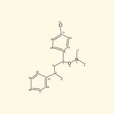 CC(CC(ON(C)C)c1ccc(Cl)cc1)c1ccccc1